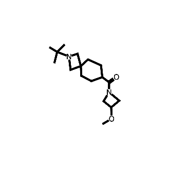 COC1CN(C(=O)C2CCC3(CC2)CN(C(C)(C)C)C3)C1